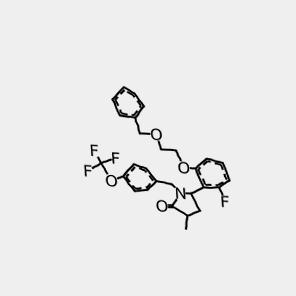 CC1CC(c2c(F)cccc2OCCOCc2ccccc2)N(Cc2ccc(OC(F)(F)F)cc2)C1=O